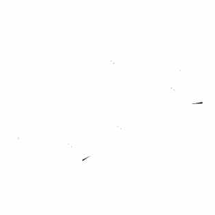 C[C@H]1COc2c(N3CC[C@@H](C4(NC(=O)OC(C)(C)C)CC4)C3)cc(N)c3cc(C(=O)O)c(=O)n1c23